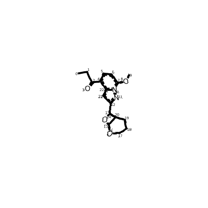 CCC(=O)c1ccc(OC)n2nc(C3OC4OCCCC43)cc12